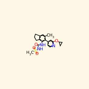 Cc1cc2c(c(NC(=O)NS(C)(=O)=O)c1-c1ccnc(OC3CC3)c1)CCC2